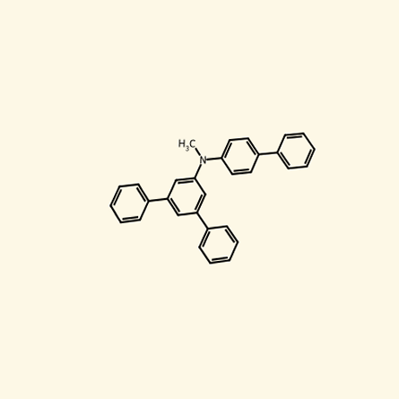 CN(c1ccc(-c2ccccc2)cc1)c1cc(-c2ccccc2)cc(-c2ccccc2)c1